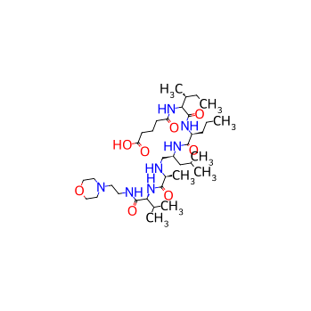 CCC[C@H](NC(=O)C(NC(=O)CCCC(=O)O)[C@@H](C)CC)C(=O)N[C@H](CN[C@@H](C)C(=O)N[C@H](C(=O)NCCN1CCOCC1)C(C)C)CC(C)C